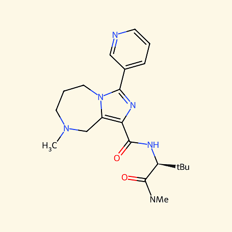 CNC(=O)[C@@H](NC(=O)c1nc(-c2cccnc2)n2c1CN(C)CCC2)C(C)(C)C